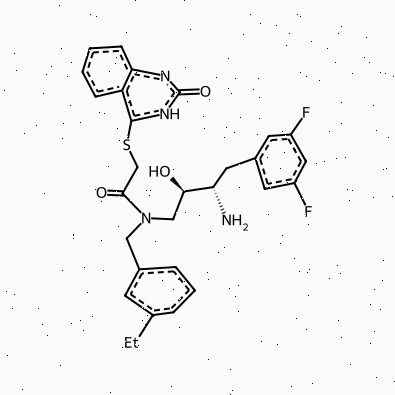 CCc1cccc(CN(C[C@@H](O)[C@@H](N)Cc2cc(F)cc(F)c2)C(=O)CSc2[nH]c(=O)nc3ccccc23)c1